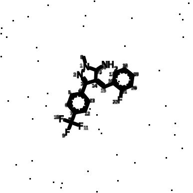 CN1N=C(c2ccc(C(F)(F)F)cc2)C(=Cc2ccccc2F)C1N